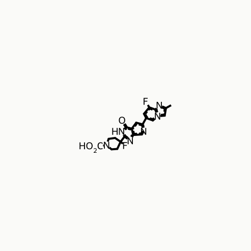 Cc1cn2cc(-c3cc4c(=O)[nH]c(C5(F)CCN(C(=O)O)CC5)nc4cn3)cc(F)c2n1